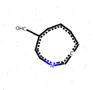 O=Cc1ccccccncc1